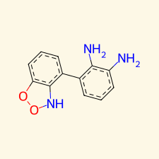 Nc1cccc(-c2cccc3c2NOO3)c1N